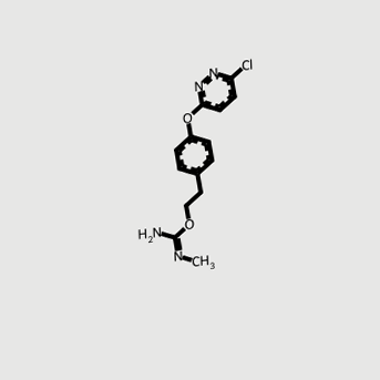 C/N=C(/N)OCCc1ccc(Oc2ccc(Cl)nn2)cc1